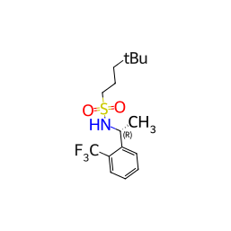 C[C@@H](NS(=O)(=O)CCCC(C)(C)C)c1ccccc1C(F)(F)F